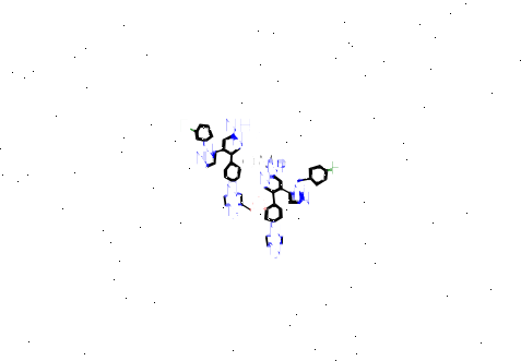 COc1cc(N2CCN(C)C(COc3cc(N4CCN(C)CC4)ccc3-c3cnc(N)cc3-c3ccnn3Cc3ccc(F)cc3)C2)ccc1-c1cnc(N)cc1-c1ccnn1-c1cccc(F)c1